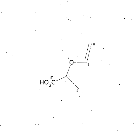 C=COC(C)C(=O)O